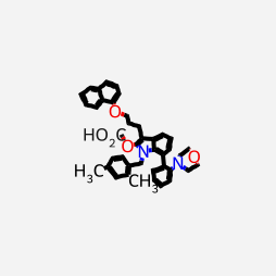 Cc1ccc(Cn2c(OC(=O)O)c(CCCOc3cccc4ccccc34)c3cccc(-c4ccccc4N4CCOCC4)c32)c(C)c1